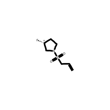 C=CCS(=O)(=O)N1CC[C@@H](F)C1